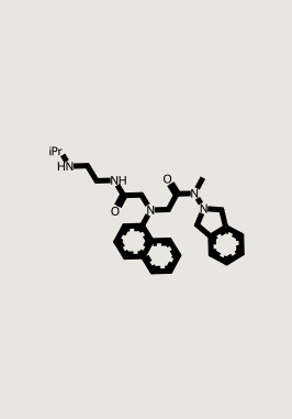 CC(C)NCCNC(=O)CN(CC(=O)N(C)N1Cc2ccccc2C1)c1cccc2ccccc12